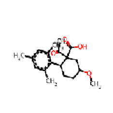 COC1CCC(c2c(C)cc(C)cc2C)C(C(C)=O)(C(=O)O)C1